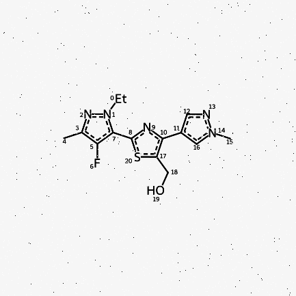 CCn1nc(C)c(F)c1-c1nc(-c2cnn(C)c2)c(CO)s1